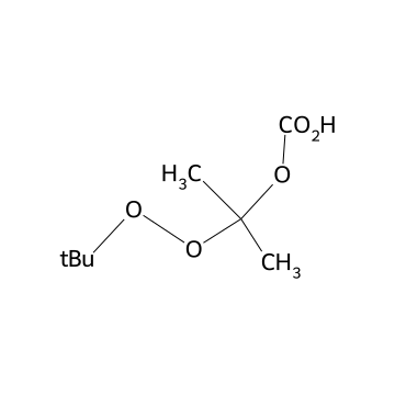 CC(C)(C)OOC(C)(C)OC(=O)O